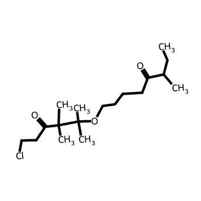 CCC(C)C(=O)CCCCOC(C)(C)C(C)(C)C(=O)CCCl